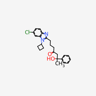 CC(O)(CC(=O)CCCc1nc2ccc(Cl)cc2n1C1CCC1)c1ccccc1